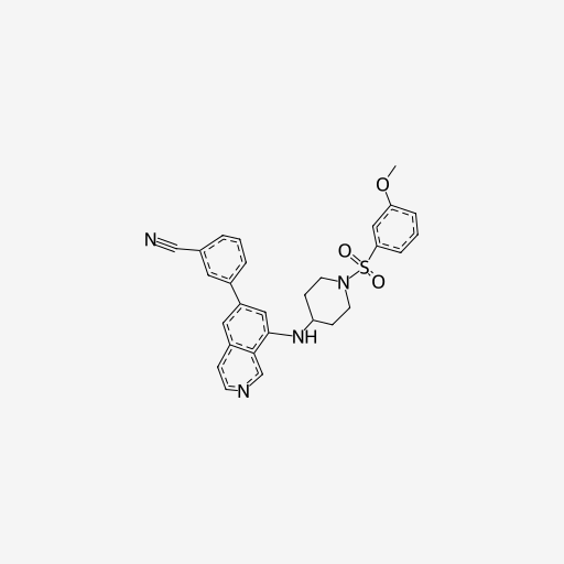 COc1cccc(S(=O)(=O)N2CCC(Nc3cc(-c4cccc(C#N)c4)cc4ccncc34)CC2)c1